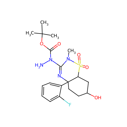 CN1C(N(N)C(=O)OC(C)(C)C)=NC2(c3ccccc3F)CCC(O)CC2S1(=O)=O